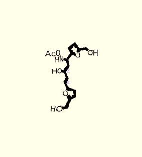 CC(=O)ONC(/C=C(O)/C=C/c1ccc(CO)o1)c1ccc(CO)o1